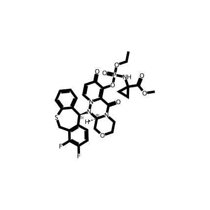 CCOP(=O)(NC1(C(=O)OC)CC1)Oc1c2n(ccc1=O)N([C@@H]1c3ccccc3SCc3c1ccc(F)c3F)[C@@H]1COCCN1C2=O